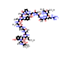 CC(C)C[C@H](NC(=O)[C@H](Cc1ccc(O)cc1)NC(=O)[C@@H](NC(=O)[C@@H]1CCCN1C(=O)[C@H](C)NC(=O)CNC(=O)[C@H](C)NC(=O)CNC(=O)[C@@H](NC(=O)[C@H](CCCNC(=N)N)NC(=O)[C@H](CCC(=O)O)NC(=O)[C@H](C)N)C(C)C)C(C)C)C(=O)N[C@@H](C)C(=O)N[C@@H](C)C(=O)N[C@H](C(=O)N[C@@H](CC(C)C)C(=O)N[C@@H](CCC(=O)O)C(=O)N[C@@H](Cc1ccc(O)cc1)C(=O)N[C@@H](CC(C)C)C(=O)N[C@H](C(=O)O)[C@@H](C)O)C(C)C